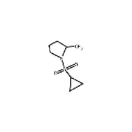 CC1CCCN1S(=O)(=O)C1CC1